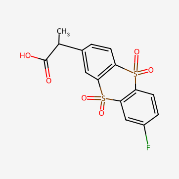 CC(C(=O)O)c1ccc2c(c1)S(=O)(=O)c1cc(F)ccc1S2(=O)=O